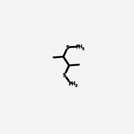 CC(SP)C(C)SP